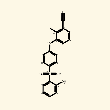 C#Cc1cccc(Oc2ccc(S(=O)(=O)c3ccccc3O)cc2)c1C